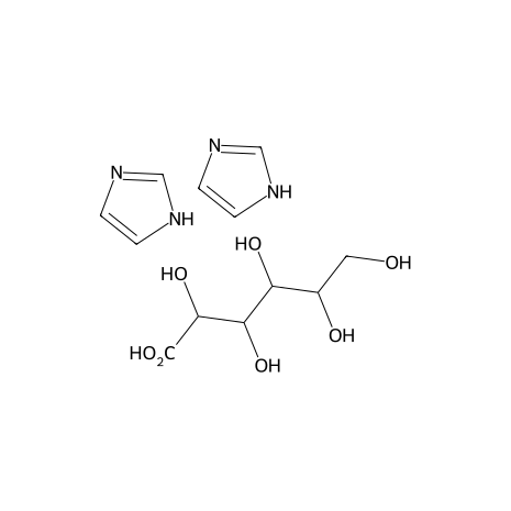 O=C(O)C(O)C(O)C(O)C(O)CO.c1c[nH]cn1.c1c[nH]cn1